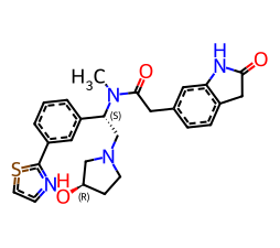 CN(C(=O)Cc1ccc2c(c1)NC(=O)C2)[C@H](CN1CC[C@@H](O)C1)c1cccc(-c2nccs2)c1